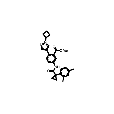 COC(=O)c1cc(NC(=O)C2(c3ccc(C)cc3F)CC2)ccc1-c1cnn(C2CCC2)c1